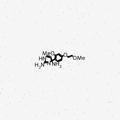 COCCOc1ccc(C2(N)C=CNC(N)=N2)c(OC)c1